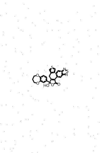 O=C1OC(O)(c2ccc3c(c2)OCCCO3)C(Cc2ccsc2)=C1c1ccc2nsnc2c1